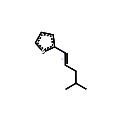 CC(C)C/C=C/c1cccs1